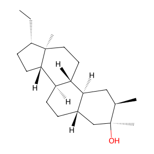 CC[C@H]1CC[C@H]2[C@@H]3CC[C@H]4C[C@](C)(O)[C@H](C)C[C@@H]4[C@H]3CC[C@]12C